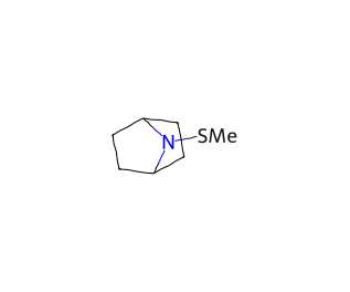 CSN1C2CCC1CC2